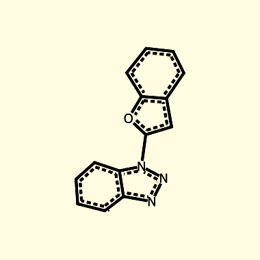 [c]1cccc2c1nnn2-c1cc2ccccc2o1